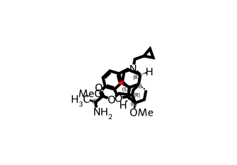 COc1ccc2c3c1OC1[C@@]4(OC)CC[C@@]5(C[C@@H]4COC(=O)[C@H](C)N)[C@@H](C2)N(CC2CC2)CC[C@]315